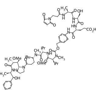 CC[C@H](C)[C@@H]([C@@H](CC(=O)N1CCC[C@H]1[C@H](OC)[C@@H](C)C(=O)N[C@H](C)[C@@H](O)c1ccccc1)OC)N(C)C(=O)[C@@H](NC(=O)[C@H](C(C)C)N(C)C(=O)OCc1ccc(NC(=O)[C@H](CCC(=O)O)NC(=O)[C@H](CO)NC(=O)[C@H](C)NC(=O)CCN2C(=O)C=CC2=O)cc1)C(C)C